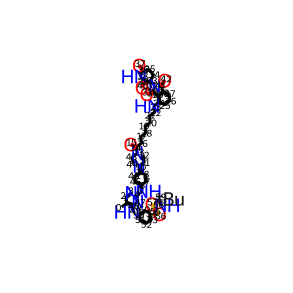 Cc1cnc(Nc2ccc(N3CCN(C(=O)CCCCCCCNc4cccc5c4C(=O)N(C4CCC(=O)NC4=O)C5=O)CC3)cc2)nc1Nc1cccc(S(=O)(=O)NC(C)(C)C)c1